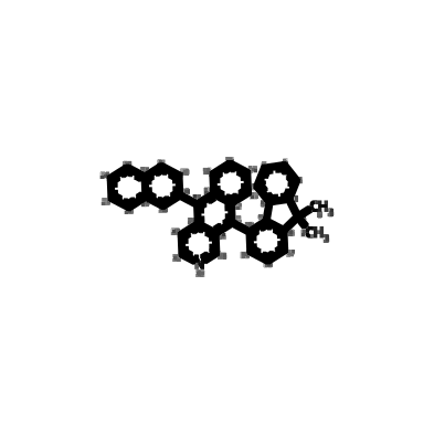 CC1(C)c2ccccc2-c2c(-c3c4ccccc4c(-c4ccc5ccccc5c4)c4ccncc34)cccc21